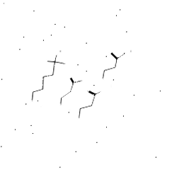 CCCC(=O)O.CCCC(=O)O.CCCC(=O)O.CCCCCC(C)(C)O